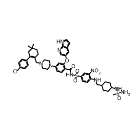 CC1(C)CCC(CN2CCN(c3ccc(C(=O)NS(=O)(=O)c4ccc(NCC5CCC(N[SH](C)(N)=O)CC5)c([N+](=O)[O-])c4)c(Oc4cnc5[nH]ccc5c4)c3)CC2)=C(c2ccc(Cl)cc2)C1